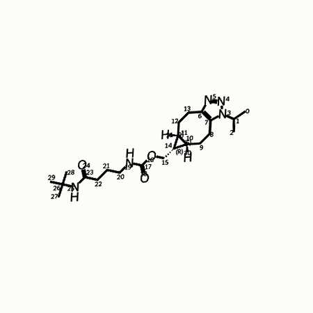 CC(C)n1nnc2c1CC[C@H]1[C@@H](CC2)[C@H]1COC(=O)NCCCC(=O)NC(C)(C)C